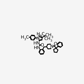 Cc1ccc(-n2nc(C(C)(C)C)cc2NC(=O)Nc2ccccc2CC2CCN(C(=O)C3(c4ccccc4)CCCC3)CC2)cc1